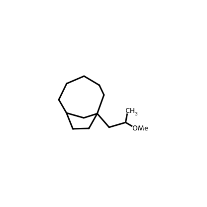 COC(C)CC12CCCCCC(CC1)C2